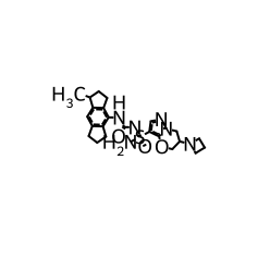 CC1CCc2c1cc1c(c2NC(=O)N=S(N)(=O)c2cnn3c2OCC(N2CCC2)C3)CCC1